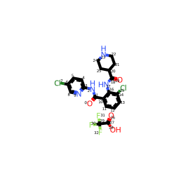 O=C(Nc1ccc(Cl)cn1)c1cccc(Cl)c1NC(=O)C1CCNCC1.O=C(O)C(F)(F)F